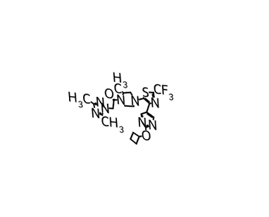 Cc1nc(C)n(CC(=O)N2CCN(c3sc(C(F)(F)F)nc3-c3cnc(OC4CCC4)nc3)CC2C)n1